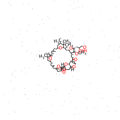 C=C1CC2CC[C@@]34CC5OC6C(O3)[C@H]3OC(CCC3O[C@H]6[C@H]5O4)CC(=O)CC3C(CC4OC(CC[C@@H]1O2)CC(C)C4(C)C)O[C@H](CC(O)CO)[C@@H]3OC